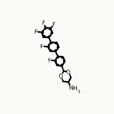 NC1COC(c2ccc(-c3ccc(-c4cc(F)c(F)c(F)c4)c(F)c3)c(F)c2)OC1